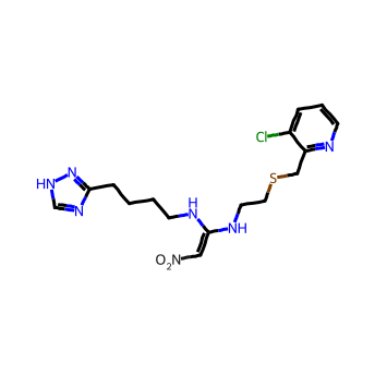 O=[N+]([O-])C=C(NCCCCc1nc[nH]n1)NCCSCc1ncccc1Cl